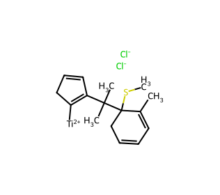 CSC1(C(C)(C)C2=[C]([Ti+2])CC=C2)CC=CC=C1C.[Cl-].[Cl-]